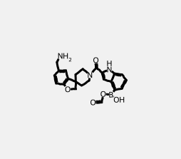 NCc1ccc2c(c1)C1(CCN(C(=O)c3cc4c(B(O)OC=O)cccc4[nH]3)CC1)CO2